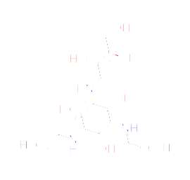 O=C(O)CN[C@@H]1[C@H](O)[C@H](NCC(=O)O)[C@H](O)[C@H](NC[C@H](O)[C@H](O)CO)[C@@H]1O